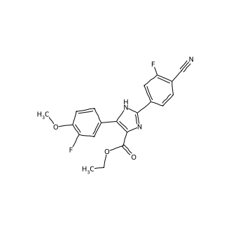 CCOC(=O)c1nc(-c2ccc(C#N)c(F)c2)[nH]c1-c1ccc(OC)c(F)c1